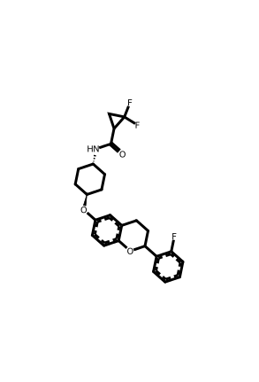 O=C(N[C@H]1CC[C@H](Oc2ccc3c(c2)CCC(c2ccccc2F)O3)CC1)C1CC1(F)F